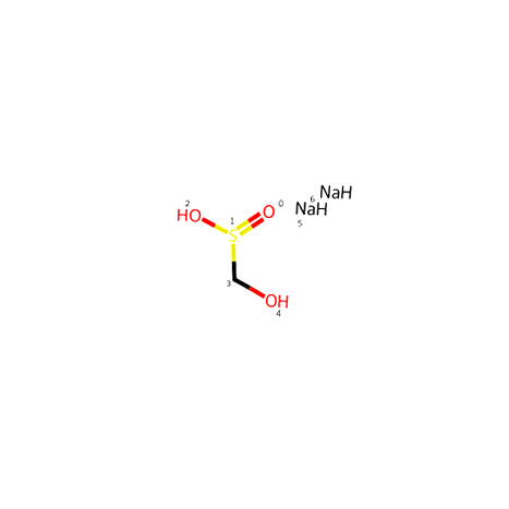 O=S(O)CO.[NaH].[NaH]